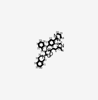 Cc1ncsc1/C=C/C(=O)N(Cc1ccc(-c2ncccn2)cc1)[C@@H](Cc1ccccc1)C(=O)N1CCc2ccccc2C1